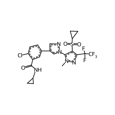 Cn1nc(C(F)(F)C(F)(F)F)c(S(=O)(=O)C2CC2)c1-n1cc(-c2ccc(Cl)c(C(=O)NC3CC3)c2)cn1